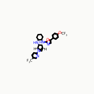 FC(F)(F)Oc1ccc(-c2cnc(N[C@@H]3CCCC[C@H]3N[C@H]3C[C@@H]4C[C@H]3N(c3ccc(C(F)(F)F)cn3)C4)o2)cc1